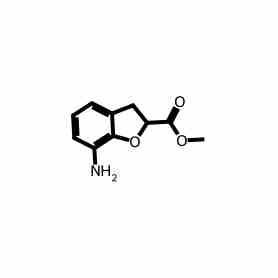 COC(=O)C1Cc2cccc(N)c2O1